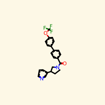 O=C(c1ccc(-c2ccc(OC(F)(F)F)cc2)cc1)N1CCC(c2cccnc2)C1